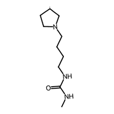 CNC(=O)NCCCCN1C[CH]CC1